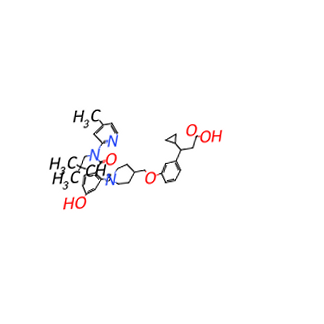 Cc1ccnc(N(CC(C)(C)C)C(=O)c2ccc(O)cc2N2CCC(COc3cccc(C(CC(=O)O)C4CC4)c3)CC2)c1